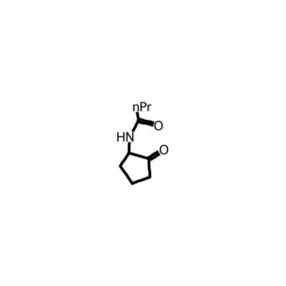 CCCC(=O)NC1CCCC1=O